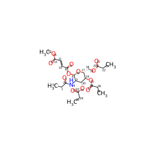 CCC(=O)N[C@H]1[C@@H](OC(=O)/C=C/C(=O)OC)O[C@H](COC(=O)CC)[C@@H](OC(=O)CC)[C@@H]1OC(=O)CC